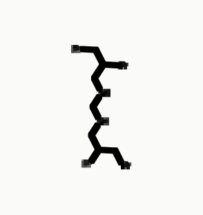 CC(C)CC(CNCNCC(CC(C)C)C(C)C)C(C)C